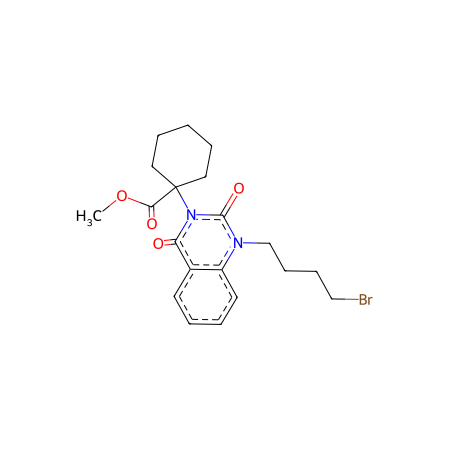 COC(=O)C1(n2c(=O)c3ccccc3n(CCCCBr)c2=O)CCCCC1